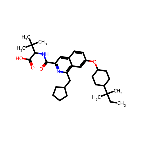 CCC(C)(C)C1CCC(Oc2ccc3cc(C(=O)NC(C(=O)O)C(C)(C)C)nc(CC4CCCC4)c3c2)CC1